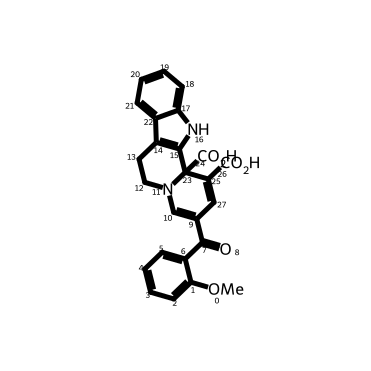 COc1ccccc1C(=O)C1=CN2CCc3c([nH]c4ccccc34)C2(C(=O)O)C(C(=O)O)=C1